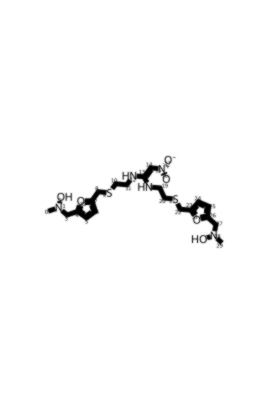 CN(O)Cc1ccc(CSCCNC(=C[N+](=O)[O-])NCCSCc2ccc(CN(C)O)o2)o1